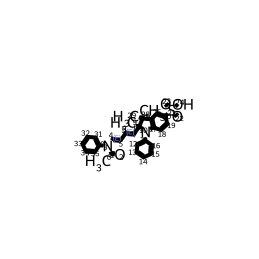 CC(=O)N(/C=C/C=C/[C@@]1(C)N(c2ccccc2)c2ccc(S(=O)(=O)O)cc2C1(C)C)c1ccccc1